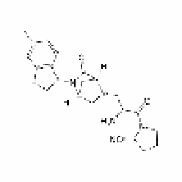 Cc1ccc2c(c1)CC[C@H]2N1C(=O)[C@@H]2C[C@H]1CN2C[C@H](N)C(=O)N1CCC[C@H]1C#N